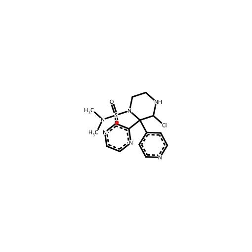 CN(C)S(=O)(=O)N1CCNC(Cl)C1(c1ccncc1)c1cnccn1